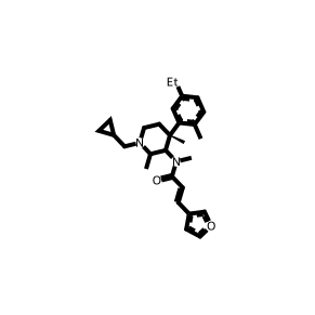 CCc1ccc(C)c([C@@]2(C)CCN(CC3CC3)C(C)C2N(C)C(=O)/C=C/c2ccoc2)c1